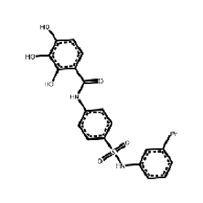 CC(C)c1cccc(NS(=O)(=O)c2ccc(NC(=O)c3ccc(O)c(O)c3O)cc2)c1